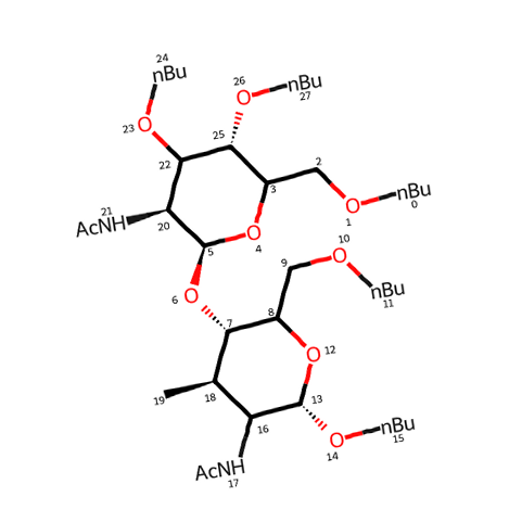 CCCCOCC1O[C@@H](O[C@@H]2C(COCCCC)O[C@H](OCCCC)C(NC(C)=O)[C@H]2C)[C@@H](NC(C)=O)C(OCCCC)[C@@H]1OCCCC